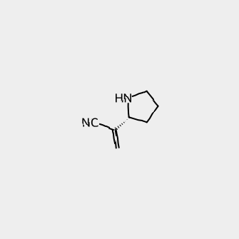 C=C(C#N)[C@H]1CCCN1